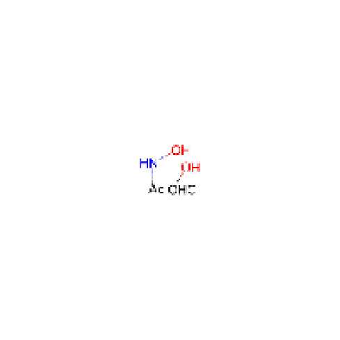 CC(=O)NO.O=CO